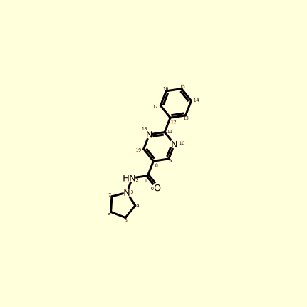 O=C(NN1CCCC1)c1cnc(-c2ccccc2)nc1